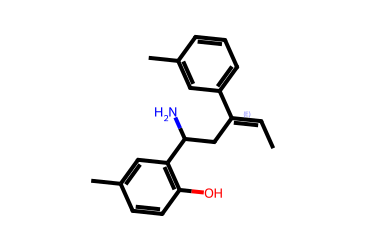 C/C=C(\CC(N)c1cc(C)ccc1O)c1cccc(C)c1